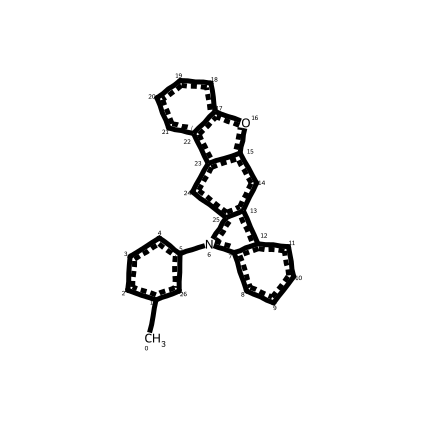 Cc1cccc(-n2c3ccccc3c3cc4oc5ccccc5c4cc32)c1